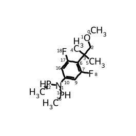 COCC(C)(C)c1c(F)cc(N(PC)PC)cc1F